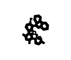 Cc1ccc(-c2c(C)cc(C)c3c2oc2c(-c4cc5ccccc5c5ccccc45)c(F)ccc23)[n+](C)c1